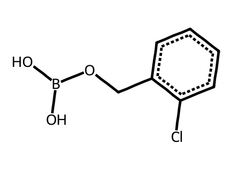 OB(O)OCc1ccccc1Cl